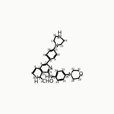 O=CC1NC=Cc2cc(-c3ccc(N4CCNCC4)cc3)nc(Nc3ccc(N4CCOCC4)cc3)c21